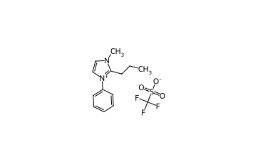 CCCc1n(C)cc[n+]1-c1ccccc1.O=S(=O)([O-])C(F)(F)F